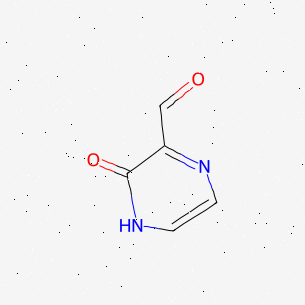 O=Cc1ncc[nH]c1=O